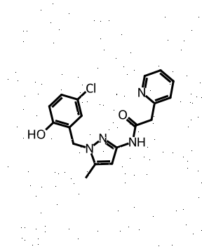 Cc1cc(NC(=O)Cc2ccccn2)nn1Cc1cc(Cl)ccc1O